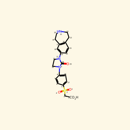 O=C(O)CS(=O)(=O)c1ccc(N2CCN(c3ccc4c(c3)CCNCC4)C2=O)cc1